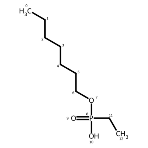 CCCCCCCOP(=O)(O)CC